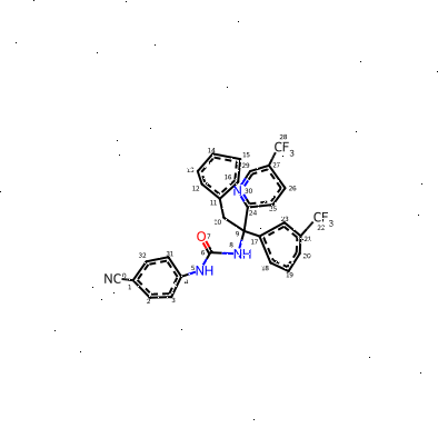 N#Cc1ccc(NC(=O)NC(Cc2ccccc2)(c2cccc(C(F)(F)F)c2)c2ccc(C(F)(F)F)cn2)cc1